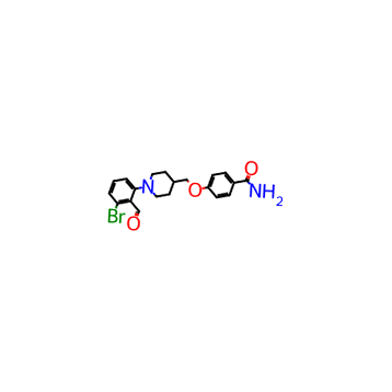 NC(=O)c1ccc(OCC2CCN(c3cccc(Br)c3C=O)CC2)cc1